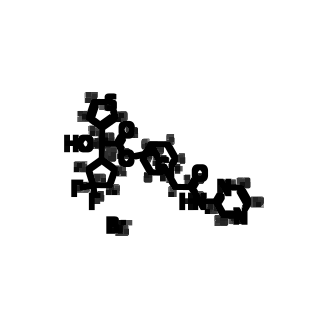 O=C(C[N+]12CCC(CC1)C(OC(=O)[C@](O)(c1ccsc1)C1CCC(F)(F)C1)C2)Nc1cnccn1.[Br-]